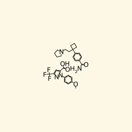 COc1ccc(-n2nc(C(F)(F)F)cc2C(=O)O)cc1.NC(=O)c1ccc(C2(CCN3CCCC3)CCC2)cc1